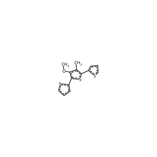 COc1c(-c2[c]ccs2)sc(-c2cccs2)c1C